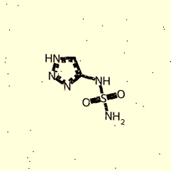 NS(=O)(=O)Nc1c[nH]nn1